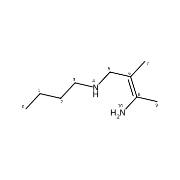 CCCCNCC(C)=C(C)N